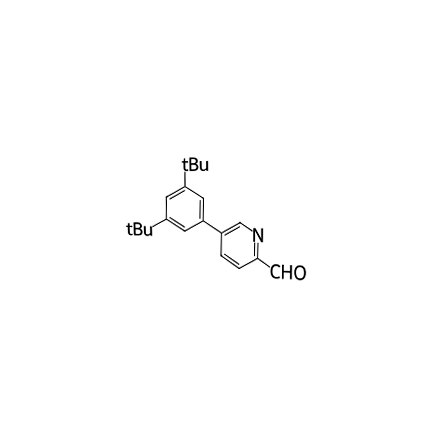 CC(C)(C)c1cc(-c2ccc(C=O)nc2)cc(C(C)(C)C)c1